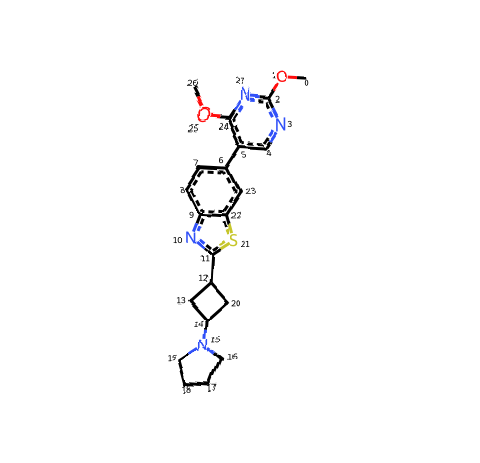 COc1ncc(-c2ccc3nc(C4CC(N5CCCC5)C4)sc3c2)c(OC)n1